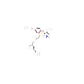 CCCCC(CC)COC(=O)CCS(=O)(=O)C1(Cc2ccc(OC)cc2)N=NC=C1C